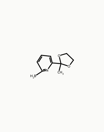 Bc1cccc(C2(C)OCCO2)n1